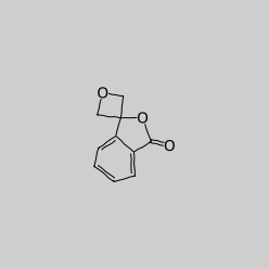 O=C1OC2(COC2)c2ccccc21